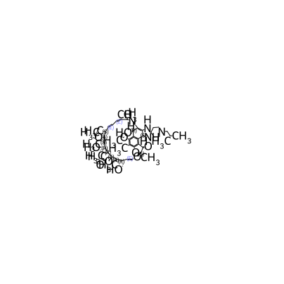 COc1c(C)c2c3c4c1[C@@H](O)C(=C1NC5(CCN(CC(C)C)CC5)N[C@H]14)NC(=O)/C(C)=C\C=C\[C@H](C)[C@H](OC)[C@@H](C)[C@@H](CO)[C@@H](C)[C@H](OC(C)=O)[C@H](C)[C@@H](CO)/C=C/O[C@@](C)(O2)C3=O